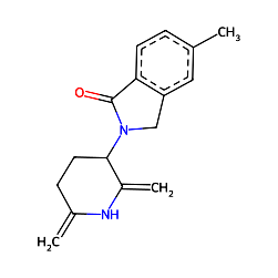 C=C1CCC(N2Cc3cc(C)ccc3C2=O)C(=C)N1